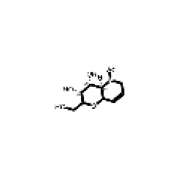 CC(=O)N1CC=CC2OC(CO)[C@H](O)[C@H](O)[C@H]21